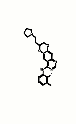 Cc1cccc(Nc2ncnc3cc4c(cc23)OC(CCN2CCCC2)CO4)c1F